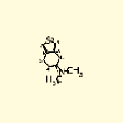 CN(C)C1CCc2cscc2C1